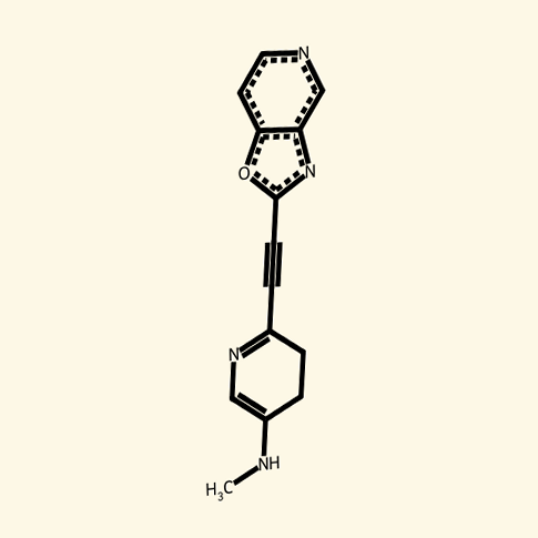 CNC1=CN=C(C#Cc2nc3cnccc3o2)CC1